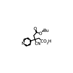 CCC(C)OC(=O)CC(C#N)(CC(=O)O)c1ccncc1